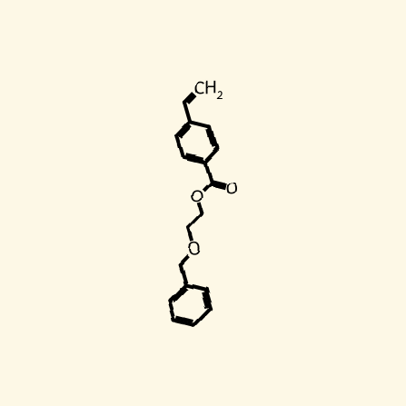 C=Cc1ccc(C(=O)OCCOCc2ccccc2)cc1